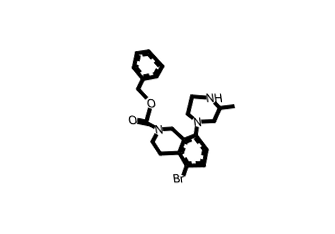 CC1CN(c2ccc(Br)c3c2CN(C(=O)OCc2ccccc2)CC3)CCN1